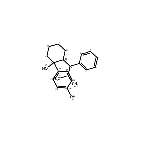 CN(C)C(c1ccccc1)C1CCCCC1(O)c1ccc(O)cc1